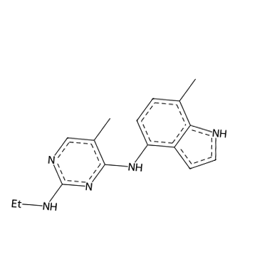 CCNc1ncc(C)c(Nc2ccc(C)c3[nH]ccc23)n1